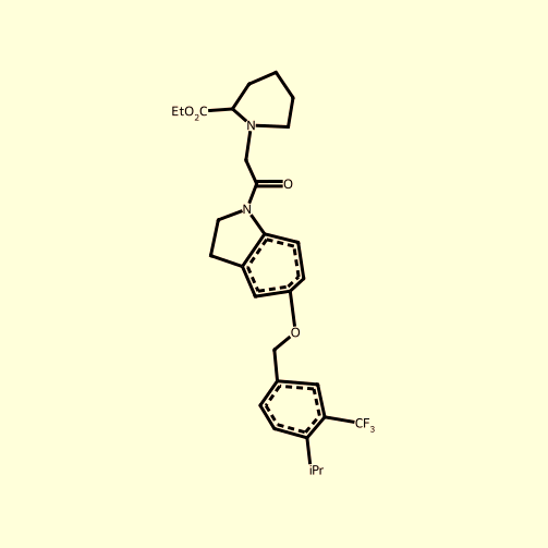 CCOC(=O)C1CCCCN1CC(=O)N1CCc2cc(OCc3ccc(C(C)C)c(C(F)(F)F)c3)ccc21